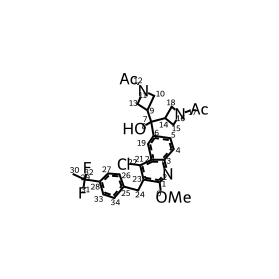 COc1nc2ccc(C(O)(C3CN(C(C)=O)C3)C3CN(C(C)=O)C3)cc2c(Cl)c1Cc1ccc(C(C)(F)F)cc1